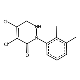 Cc1cccc(N2NCC(Cl)=C(Cl)C2=O)c1C